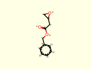 O=C(CC1CO1)OCc1ccccc1